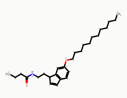 CCCCCCCCCCCCOc1ccc2c(c1)C(CCNC(=O)CCC)C=C2